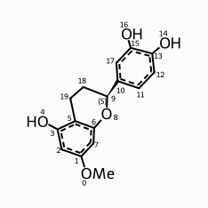 COc1cc(O)c2c(c1)O[C@H](c1ccc(O)c(O)c1)CC2